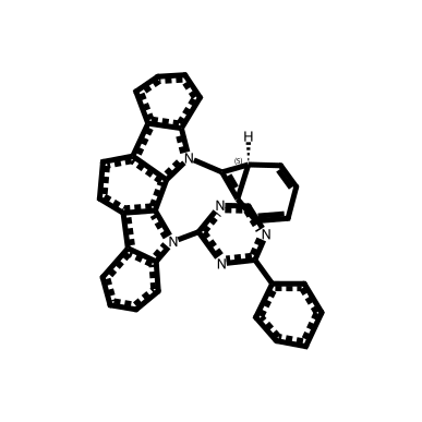 C1=CC2=C(n3c4ccccc4c4ccc5c6ccccc6n(-c6ncnc(-c7ccccc7)n6)c5c43)[C@H]2C=C1